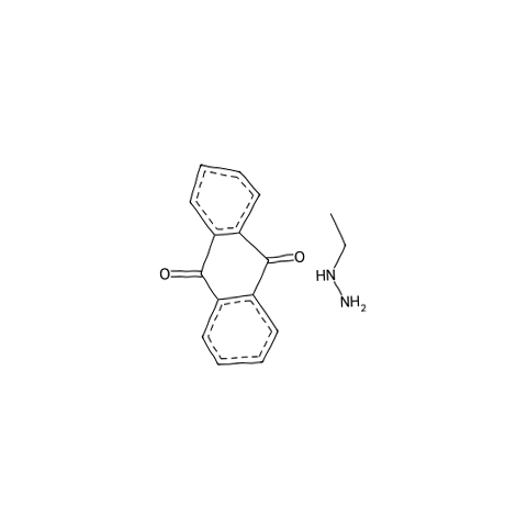 CCNN.O=C1c2ccccc2C(=O)c2ccccc21